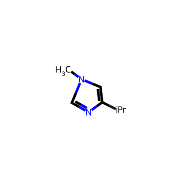 CC(C)c1cn(C)cn1